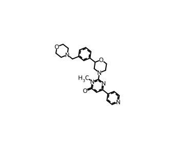 Cn1c(N2CCOC(c3cccc(CN4CCOCC4)c3)C2)nc(-c2ccncc2)cc1=O